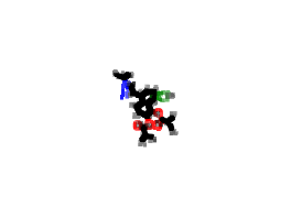 CC(C)NCCc1cccc2c(OC(=O)C(C)C)c(OC(=O)C(C)C)ccc12.Cl